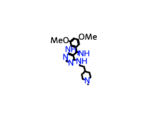 COc1cc(OC)cc(C(=N)c2c(N)ncnc2NCCC2CCN(C)CC2)c1